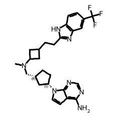 CN(C[C@@H]1CC[C@H](n2ccc3c(N)ncnc32)C1)C1CC(CCc2nc3cc(C(F)(F)F)ccc3[nH]2)C1